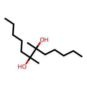 CCCCCC(C)(O)C(C)(O)CCCCC